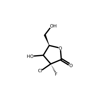 O=C1O[C@H](CO)C(O)[C@]1(F)Cl